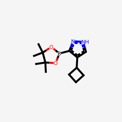 CC1(C)OB(c2n[nH]cc2C2CCC2)OC1(C)C